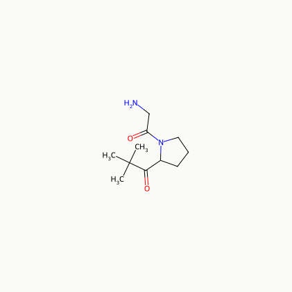 CC(C)(C)C(=O)C1CCCN1C(=O)CN